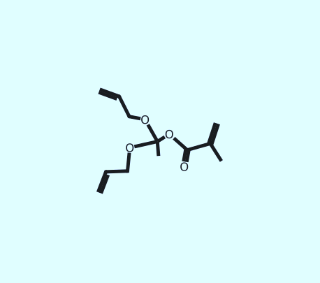 C=CCOC(C)(OCC=C)OC(=O)C(=C)C